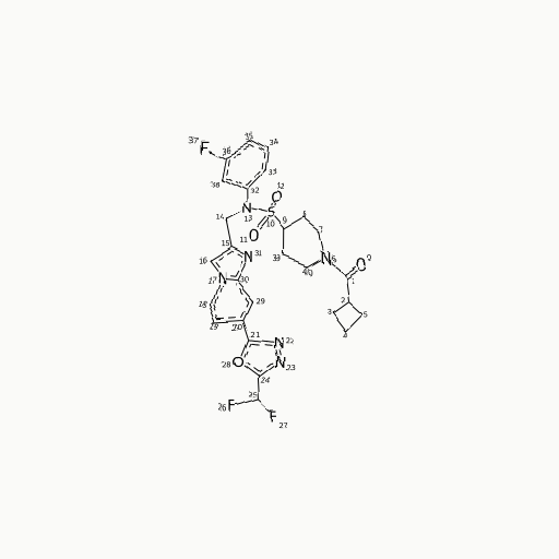 O=C(C1CCC1)N1CCC(S(=O)(=O)N(Cc2cn3ccc(-c4nnc(C(F)F)o4)cc3n2)c2cccc(F)c2)CC1